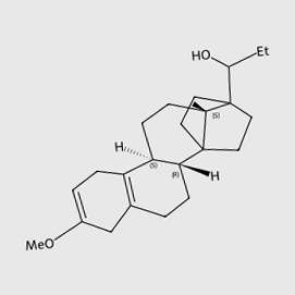 CCC(O)C12CCC3(CC1)[C@@H]1CCC4=C(CC=C(OC)C4)[C@H]1CC[C@]23C